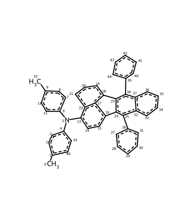 Cc1ccc(N(c2ccc(C)cc2)c2ccc3c4c(cccc24)-c2c-3c(-c3ccccc3)c3ccccc3c2-c2ccccc2)cc1